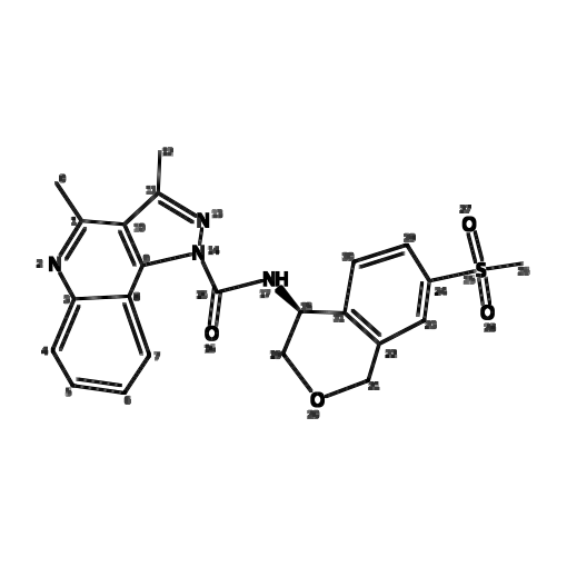 Cc1nc2ccccc2c2c1c(C)nn2C(=O)N[C@@H]1COCc2cc(S(C)(=O)=O)ccc21